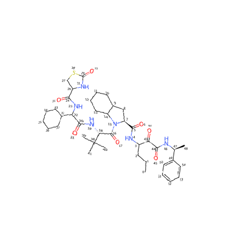 CCCC(NC(=O)[C@@H]1CC2CCCCC2N1C(=O)[C@@H](NC(=O)C(NC(=O)C1CSC(=O)N1)C1CCCCC1)C(C)(C)C)C(=O)C(=O)N[C@@H](C)c1ccccc1